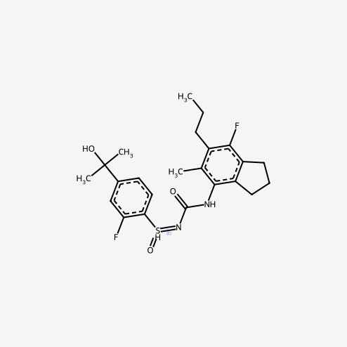 CCCc1c(C)c(NC(=O)/N=[SH](=O)\c2ccc(C(C)(C)O)cc2F)c2c(c1F)CCC2